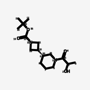 CC(O)C(=O)N1CCC[C@H](C2CN(C(=O)OC(C)(C)C)C2)C1